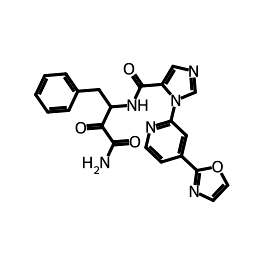 NC(=O)C(=O)C(Cc1ccccc1)NC(=O)c1cncn1-c1cc(-c2ncco2)ccn1